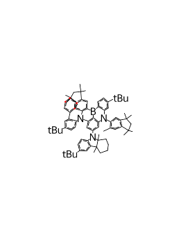 Cc1cc2c(cc1N1c3cc(C(C)(C)C)ccc3B3c4cc5c(cc4N(c4ccc(C(C)(C)C)cc4-c4ccccc4)c4cc(N6c7ccc(C(C)(C)C)cc7C7(C)CCCCC67C)cc1c43)C(C)(C)CC5(C)C)C(C)(C)CC2(C)C